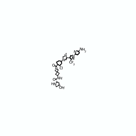 CN1CN(c2ccc(C(=O)N3CC4(CC(NC(=O)[C@@H]5C[C@@H](O)CN5)C4)C3)c(Cl)c2)C=C1c1cn(-c2ccc(N)cn2)nc1C(F)(F)F